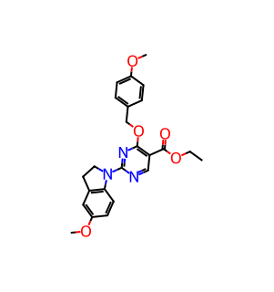 CCOC(=O)c1cnc(N2CCc3cc(OC)ccc32)nc1OCc1ccc(OC)cc1